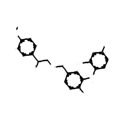 CCOc1ccc(C(COCc2ccc(F)c(Oc3ccc(F)cc3F)c2)C(F)(F)F)cc1